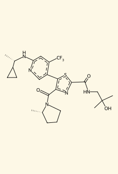 C[C@H](Nc1cc(C(F)(F)F)c(-c2sc(C(=O)NCC(C)(C)O)nc2C(=O)N2CCC[C@@H]2C)cn1)C1CC1